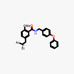 CC[C@@H](Cc1ccc(OC)c(C(=O)NCc2ccc(Oc3ccccc3)cc2)c1)C(C)=O